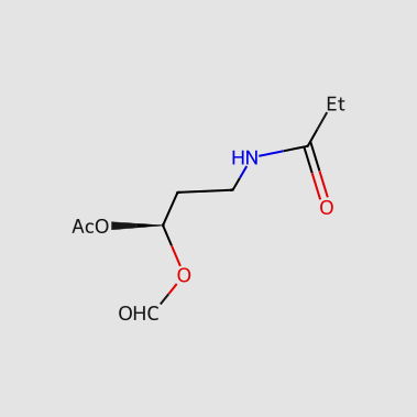 CCC(=O)NCC[C@@H](OC=O)OC(C)=O